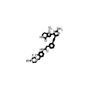 CC(C)N1CCN(Cc2ccc(NC(=O)Cc3cccc(C#Cc4cnc(N)nc4-c4cc5c(n4C)CCNC5=O)c3)cc2C(F)(F)F)CC1